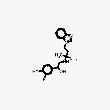 CC(C)(CCn1cnc2ccccc21)NCC(O)c1ccc(O)c(F)c1